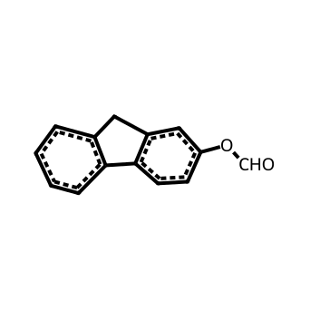 O=COc1ccc2c(c1)Cc1ccccc1-2